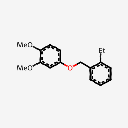 CCc1ccccc1COc1ccc(OC)c(OC)c1